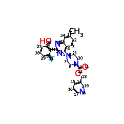 Cc1ccc2c(N3CCN(C(=O)OCc4cccnc4)CC3)nc(-c3c(O)cccc3F)nc2c1